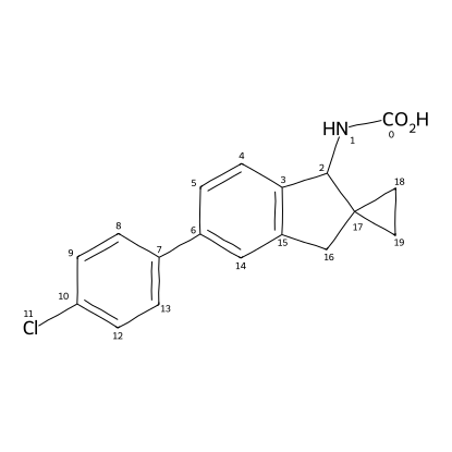 O=C(O)NC1c2ccc(-c3ccc(Cl)cc3)cc2CC12CC2